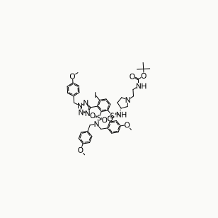 COc1ccc(CN(Cc2ccc(OC)cc2)S(=O)(=O)c2c([S+]([O-])N[C@@H]3CCN(CCNC(=O)OC(C)(C)C)C3)ccc(I)c2-c2nnn(Cc3ccc(OC)cc3)n2)cc1